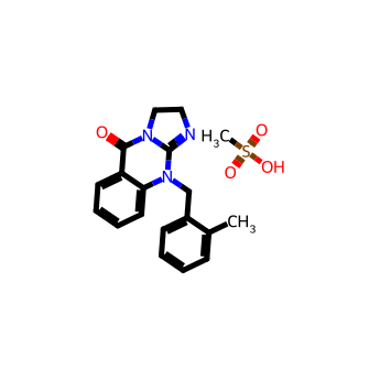 CS(=O)(=O)O.Cc1ccccc1CN1C2=NCCN2C(=O)c2ccccc21